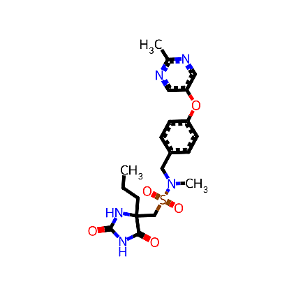 CCCC1(CS(=O)(=O)N(C)Cc2ccc(Oc3cnc(C)nc3)cc2)NC(=O)NC1=O